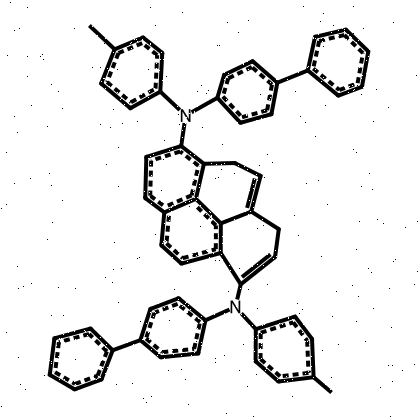 Cc1ccc(N(C2=CCC3=CCc4c(N(c5ccc(C)cc5)c5ccc(-c6ccccc6)cc5)ccc5ccc2c3c45)c2ccc(-c3ccccc3)cc2)cc1